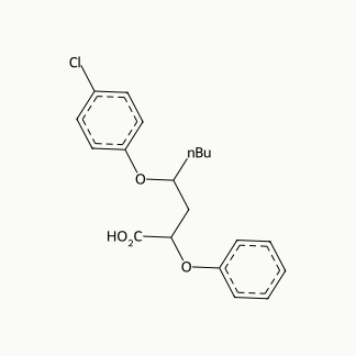 CCCCC(CC(Oc1ccccc1)C(=O)O)Oc1ccc(Cl)cc1